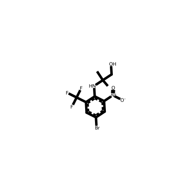 CC(C)(CO)Nc1c([N+](=O)[O-])cc(Br)cc1C(F)(F)F